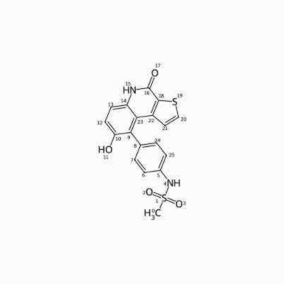 CS(=O)(=O)Nc1ccc(-c2c(O)ccc3[nH]c(=O)c4sccc4c23)cc1